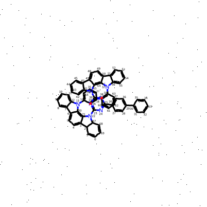 C1=CC2c3ccc4c5ccccc5n(-c5ccccc5)c4c3N(c3nc(-c4ccc(-c5ccccc5)cc4)nc(-n4c5ccccc5c5ccc6c7ccccc7n(-c7ccccc7)c6c54)n3)C2C=C1